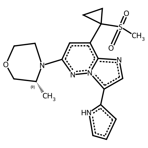 C[C@@H]1COCCN1c1cc(C2(S(C)(=O)=O)CC2)c2ncc(-c3ccc[nH]3)n2n1